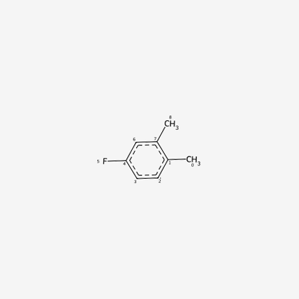 Cc1[c]cc(F)cc1C